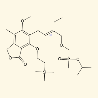 CC/C(=C\Cc1c(OC)c(C)c2c(c1OCC[Si](C)(C)C)C(=O)OC2)COCP(C)(=O)OC(C)C